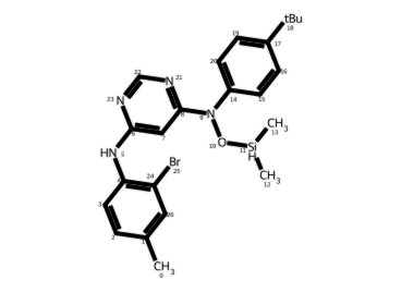 Cc1ccc(Nc2cc(N(O[SiH](C)C)c3ccc(C(C)(C)C)cc3)ncn2)c(Br)c1